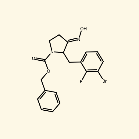 O=C(OCc1ccccc1)N1CCC(=NO)C1Cc1cccc(Br)c1F